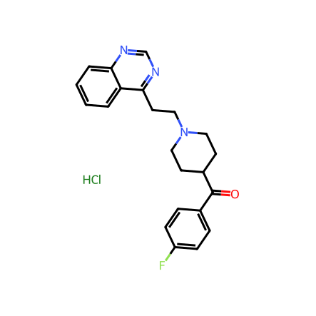 Cl.O=C(c1ccc(F)cc1)C1CCN(CCc2ncnc3ccccc23)CC1